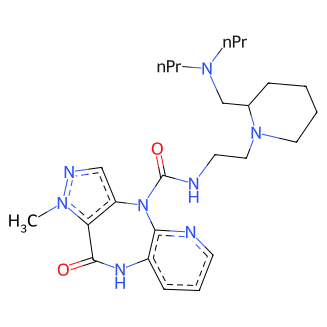 CCCN(CCC)CC1CCCCN1CCNC(=O)N1c2cnn(C)c2C(=O)Nc2cccnc21